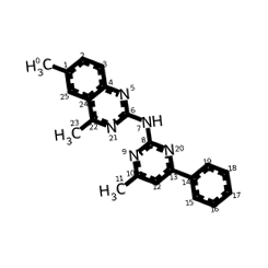 Cc1ccc2nc(Nc3nc(C)cc(-c4ccccc4)n3)nc(C)c2c1